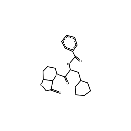 O=C(NC(CC1CCCCC1)C(=O)N1CCCC2OCC(=O)C21)c1ccccc1